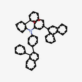 c1ccc(-c2ccccc2N(c2ccc(-c3ccc4ccccc4c3-c3ccccc3)cc2)c2cccc(-c3cc4ccccc4c4ccccc34)c2)cc1